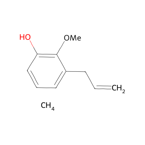 C.C=CCc1cccc(O)c1OC